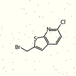 Clc1ccc2cc(CBr)sc2n1